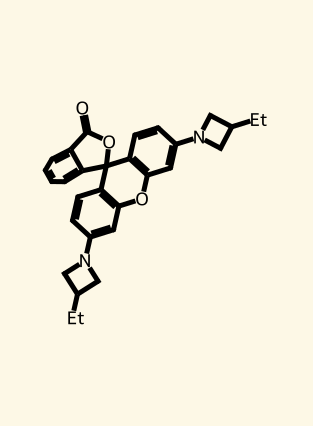 CCC1CN(c2ccc3c(c2)Oc2cc(N4CC(CC)C4)ccc2C32OC(=O)c3ccccc32)C1